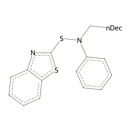 CCCCCCCCCCCN(Sc1nc2ccccc2s1)c1ccccc1